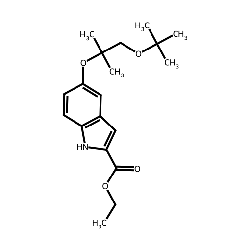 CCOC(=O)c1cc2cc(OC(C)(C)COC(C)(C)C)ccc2[nH]1